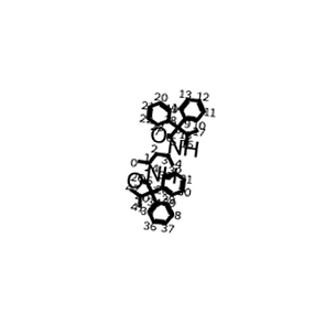 CC(CC(C)NC(=O)C(c1ccccc1)(C(C)C)C1C=CC=CC1)NC(=O)C(c1ccccc1)(c1ccccc1)C(C)C